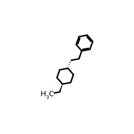 CC[C@H]1CC[C@H](CCc2ccccc2)CC1